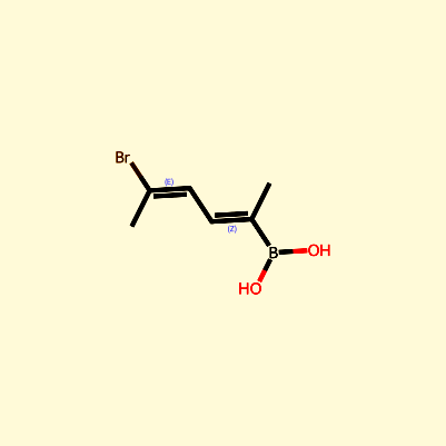 C/C(=C\C=C(/C)Br)B(O)O